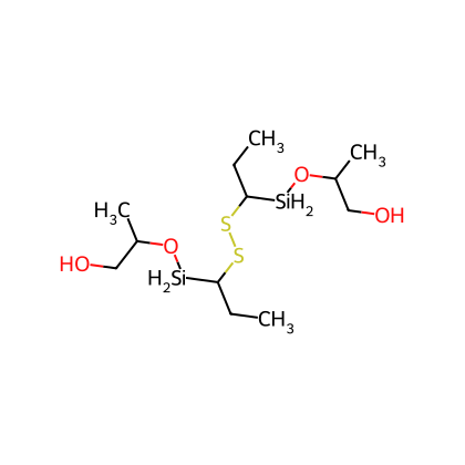 CCC([SiH2]OC(C)CO)SSC(CC)[SiH2]OC(C)CO